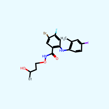 CCC(O)CCONC(=O)c1cc(Br)c(F)cc1Nc1ccc(I)cc1C